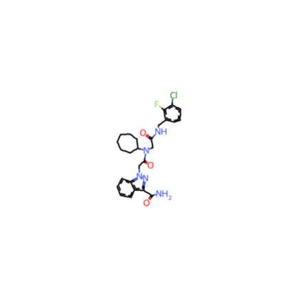 NC(=O)c1nn(CC(=O)N(CC(=O)NCc2cccc(Cl)c2F)C2CCCCCC2)c2ccccc12